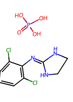 Clc1cccc(Cl)c1N=C1NCCN1.O=P(O)(O)O